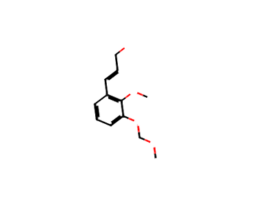 COCOc1cccc(/C=C/CO)c1OC